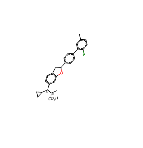 Cc1ccc(F)c(-c2ccc(C3Cc4ccc([C@H](C5CC5)[C@H](C)C(=O)O)cc4O3)cc2)c1